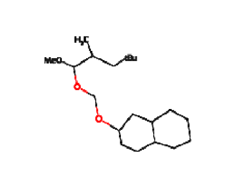 COC(OCOC1CCC2CCCCC2C1)C(C)CC(C)(C)C